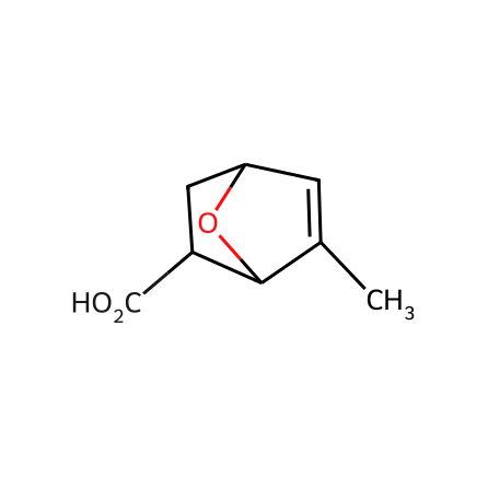 CC1=CC2CC(C(=O)O)C1O2